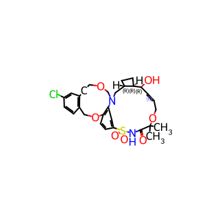 CC1(C)OC/C=C/[C@H](O)[C@@H]2CC[C@H]2CN2COCCc3cc(Cl)ccc3COc3ccc(cc32)S(=O)(=O)NC1=O